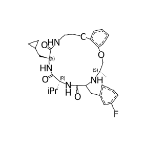 CC(C)[C@H]1NC(=O)C(Cc2cccc(F)c2)N[C@@H](C)COc2ccccc2CCCNC(=O)[C@H](CC2CC2)NC1=O